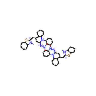 CN1/C(=C\c2c/c(=N/N3CCN(/N=c4/cc(/C=C5/Sc6ccccc6N5C)c5ccccc5n4-c4ccccc4)CC3)n(-c3ccccc3)c3ccccc23)Sc2ccccc21